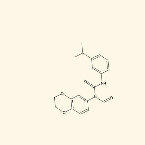 CC(C)c1cccc(NC(=O)N(C=O)c2ccc3c(c2)OCCO3)c1